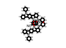 N#Cc1cc(-n2c3cc4c5ccccc5n(-c5ccccc5)c4cc3c3cccc(N(c4ccccc4)c4ccccc4)c32)c(C#N)cc1-n1c2cc3c4ccccc4n(-c4ccccc4)c3cc2c2cccc(N(c3ccccc3)c3ccccc3)c21